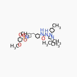 COc1ccc(OC)c(S(=O)(=O)N2CCC(Cc3cccc(NC(=O)Nc4cc(C(C)(C)C)nn4-c4ccc(C)cc4)c3)CC2)c1